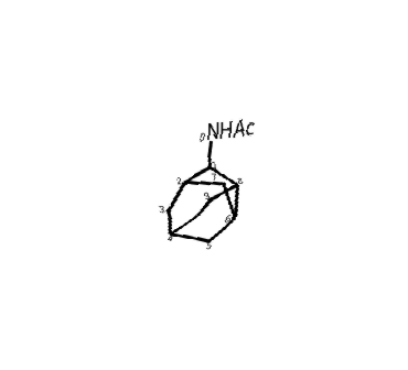 CC(=O)NC1C2CC3CC(C2)C1C3